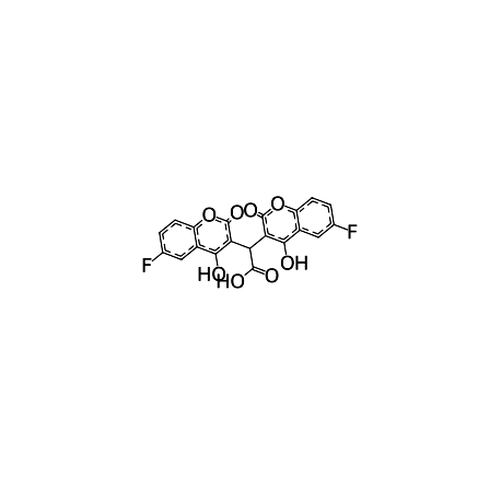 O=C(O)C(c1c(O)c2cc(F)ccc2oc1=O)c1c(O)c2cc(F)ccc2oc1=O